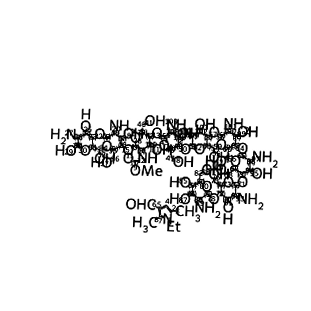 CCn1c(C)cc(C=O)c1C.COC(=O)N[C@H]1[C@H](O[C@H]2[C@H](O)[C@@H](N)[C@H](O[C@H]3[C@H](O)[C@@H](N)[C@H](O)O[C@@H]3CO)O[C@@H]2CO)O[C@H](CO)[C@@H](O[C@@H]2O[C@H](CO)[C@@H](O[C@@H]3O[C@H](CO)[C@@H](O[C@@H]4O[C@H](CO)[C@@H](O[C@@H]5O[C@H](CO)[C@@H](O[C@@H]6O[C@H](CO)[C@@H](O[C@@H]7O[C@H](CO)[C@@H](O)[C@H](O)[C@H]7N)[C@H](O)[C@H]6N)[C@H](O)[C@H]5N)[C@H](O)[C@H]4N)[C@H](O)[C@H]3N)[C@H](O)[C@H]2N)[C@@H]1O